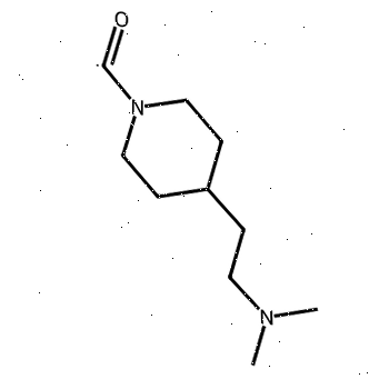 CN(C)CCC1CCN([C]=O)CC1